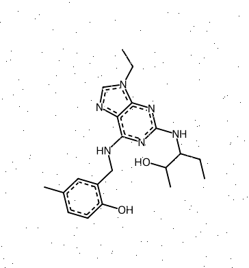 CCC(Nc1nc(NCc2cc(C)ccc2O)c2ncn(CC)c2n1)C(C)O